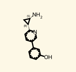 N[C@H]1C[C@H]1c1ccc(-c2cccc(O)c2)cn1